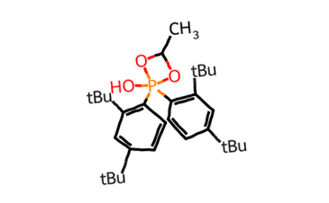 CC1OP(O)(c2ccc(C(C)(C)C)cc2C(C)(C)C)(c2ccc(C(C)(C)C)cc2C(C)(C)C)O1